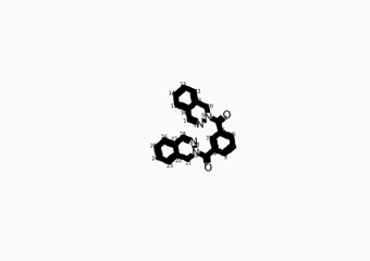 O=C(c1cccc(C(=O)N2Cc3ccccc3C=N2)c1)N1Cc2ccccc2C=N1